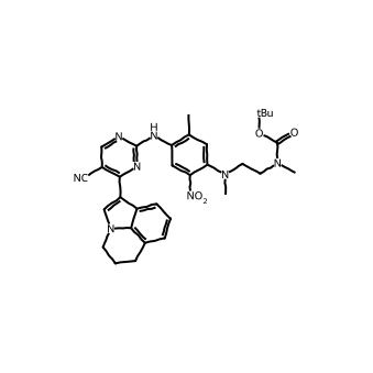 Cc1cc(N(C)CCN(C)C(=O)OC(C)(C)C)c([N+](=O)[O-])cc1Nc1ncc(C#N)c(-c2cn3c4c(cccc24)CCC3)n1